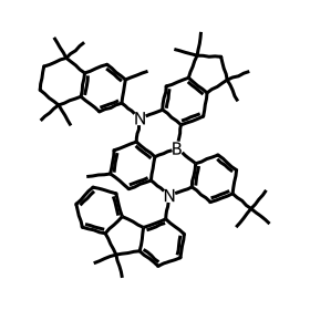 Cc1cc2c3c(c1)N(c1cccc4c1-c1ccccc1C4(C)C)c1cc(C(C)(C)C)ccc1B3c1cc3c(cc1N2c1cc2c(cc1C)C(C)(C)CCC2(C)C)C(C)(C)CC3(C)C